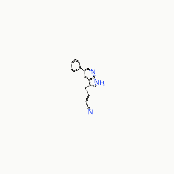 N#CC=CCc1c[nH]c2ncc(-c3ccccc3)cc12